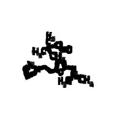 CC(C)(C)OC=O.CN(C)Cc1ccc(CCn2cccn2)o1